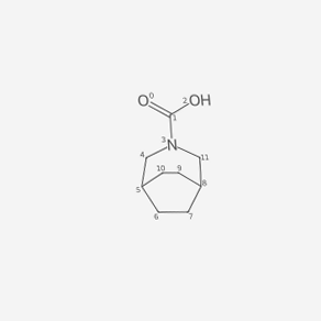 O=C(O)N1CC2CCC(CC2)C1